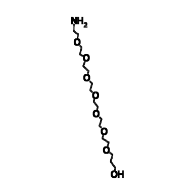 NCCOCCOCCOCCOCCOCCOCCOCCCO